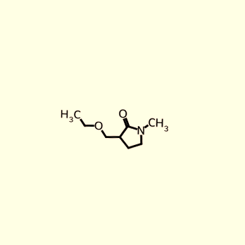 CCOCC1CCN(C)C1=O